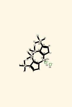 C[Si](C)(C)C1=CC[C]2=C1[Si](C)(C)[Si](C)(C)C1=[C](CC=C1[Si](C)(C)C)[Hf+2]2.[Cl-].[Cl-]